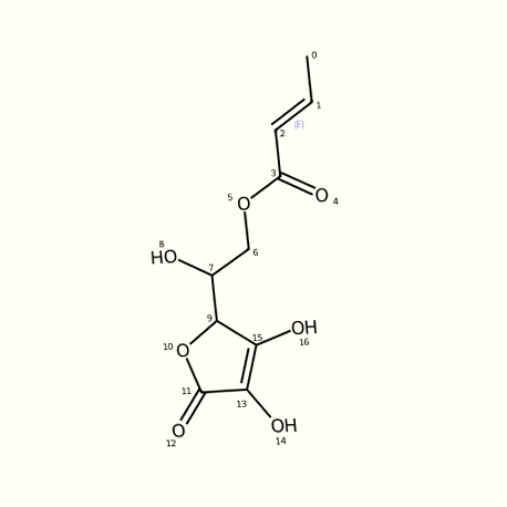 C/C=C/C(=O)OCC(O)C1OC(=O)C(O)=C1O